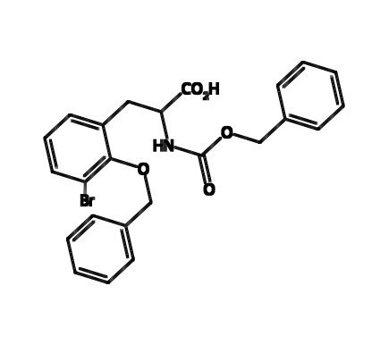 O=C(NC(Cc1cccc(Br)c1OCc1ccccc1)C(=O)O)OCc1ccccc1